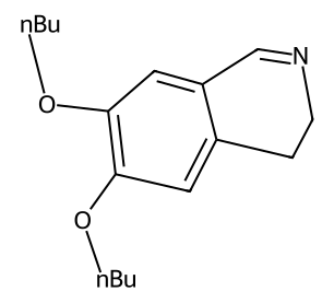 CCCCOc1cc2c(cc1OCCCC)CCN=C2